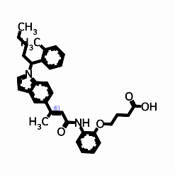 CCCCC(c1ccccc1C)n1ccc2cc(/C(C)=C/C(=O)Nc3ccccc3OCCCC(=O)O)ccc21